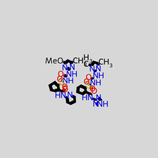 COc1cc(C)nc(NC(=O)NS(=O)(=O)c2ccccc2C(=O)Nc2ccccn2)n1.Cc1cc(C)nc(NC(=O)NS(=O)(=O)c2ccccc2C(=O)Nc2nc[nH]n2)n1